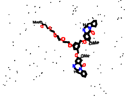 COC(=O)CCOCCOCCOCCOc1cc(COc2cc3c(cc2OC)C(=O)N2c4ccccc4C[C@H]2C=N3)cc(COc2cc3c(cc2OC)C(=O)N2c4ccccc4C[C@H]2C=N3)c1